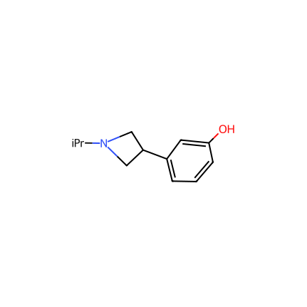 CC(C)N1CC(c2cccc(O)c2)C1